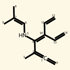 C=C=C(C)C(NC=C(C)C)=C(C=C)C=C